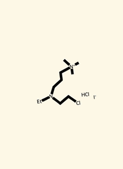 CCN(CCCl)CCC[N+](C)(C)C.Cl.[I-]